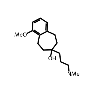 CNCCCC1(O)CCc2cccc(OC)c2CC1